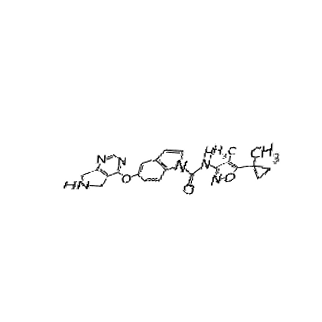 Cc1c(NC(=O)n2ccc3cc(Oc4ncnc5c4CNC5)ccc32)noc1C1(C)CC1